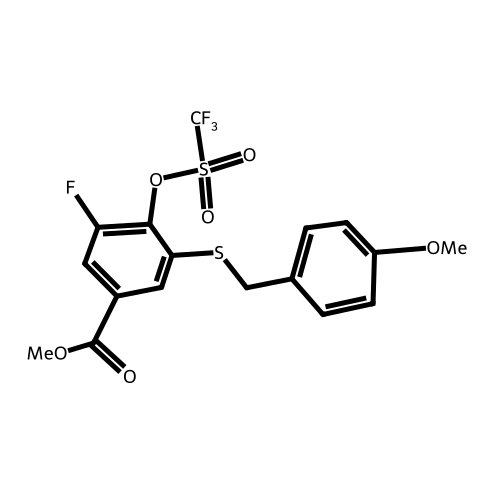 COC(=O)c1cc(F)c(OS(=O)(=O)C(F)(F)F)c(SCc2ccc(OC)cc2)c1